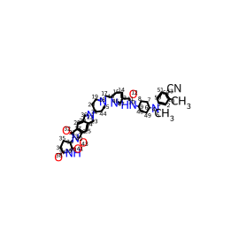 Cc1cc(N(C)[C@H]2CC[C@H](NC(=O)C3=CCC(CN4CCC(N5Cc6cc7c(cc6C5)C(=O)N(C5CCC(=O)NC5=O)C7=O)CC4)N=C3)CC2)ccc1C#N